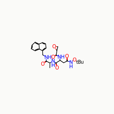 CC(NC(=O)C(CC(=O)NOC(C)(C)C)NC(=O)C1CO1)C(=O)NCc1cccc2ccccc12